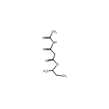 CCC(C)OC(=O)CC(=O)NC(C)=O